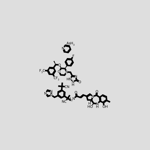 CC(C)(C#N)c1cc(Cn2cncn2)cc(C(C)(C)C#N)c1.C[C@@H](O[C@@H]1OCCN(Cc2nc(=O)[nH][nH]2)[C@@H]1c1ccc(F)cc1)c1cc(C(F)(F)F)cc(C(F)(F)F)c1.Cc1ccc2c(c1O)N[C@@H](O)[C@@H]1CC(/C=C/C(N)=O)=CN1C2=O.[AsH3].c1ccncc1